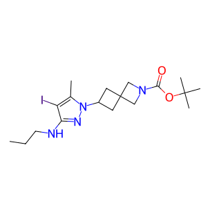 CCCNc1nn(C2CC3(C2)CN(C(=O)OC(C)(C)C)C3)c(C)c1I